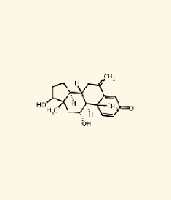 C=C1C[C@@H]2[C@H]([C@H](O)C[C@]3(C)[C@@H](O)CC[C@@H]23)[C@@]2(C)C=CC(=O)C=C12